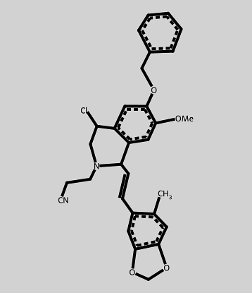 COc1cc2c(cc1OCc1ccccc1)C(Cl)CN(CCC#N)C2/C=C/c1cc2c(cc1C)OCO2